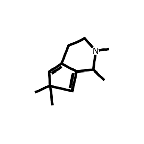 CC1C2=CC(C)(C)C=C2CCN1C